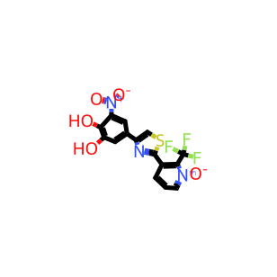 O=[N+]([O-])c1cc(-c2csc(-c3ccc[n+]([O-])c3C(F)(F)F)n2)cc(O)c1O